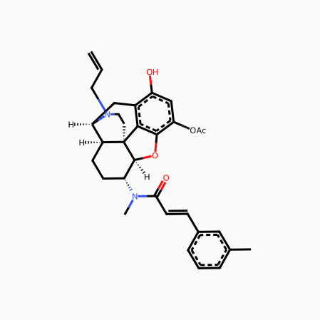 C=CCN1CC[C@]23c4c5c(O)cc(OC(C)=O)c4O[C@H]2[C@H](N(C)C(=O)C=Cc2cccc(C)c2)CC[C@H]3[C@H]1C5